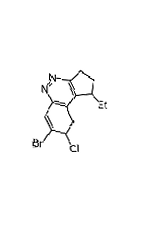 CCC1CCc2nnc3c(c21)CC(Cl)C(Br)=C3